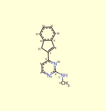 CNc1nccc(C2=Cc3ccccc3C2)n1